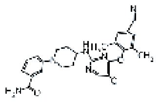 Cc1cc(C#N)cc(C)c1Oc1nc(NC2CCN(c3cccc(C(N)=O)c3)CC2)ncc1Cl